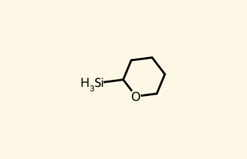 [SiH3]C1CCCCO1